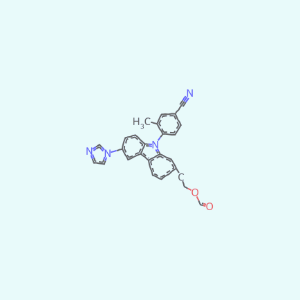 Cc1cc(C#N)ccc1-n1c2ccc(-n3ccnc3)cc2c2ccc(CCOC=O)cc21